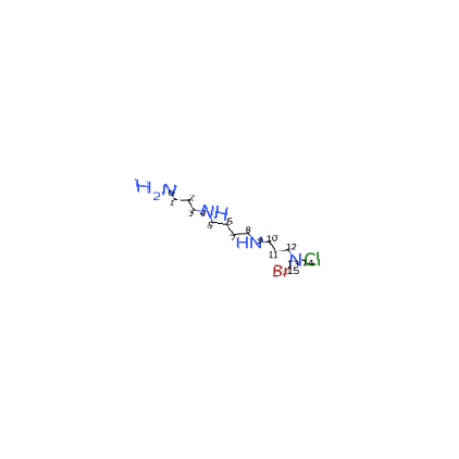 NCCCNCCCCNCCCN(Cl)Br